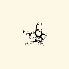 CC(=O)O[C@@H]1[C@@H](CO)O[C@@H](Cl)[C@@](OC(C)=O)([N+](=O)[O-])[C@H]1OC(C)=O